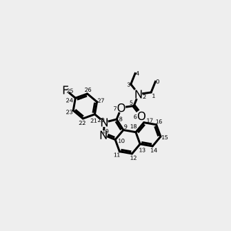 CCN(CC)C(=O)Oc1c2c(ccc3ccccc32)nn1-c1ccc(F)cc1